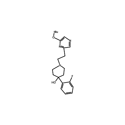 CC(C)(C)Oc1cncc(CCN2CCC(O)(c3ccccc3F)CC2)n1